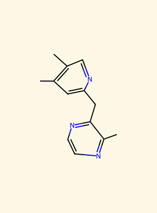 Cc1cnc(Cc2nccnc2C)cc1C